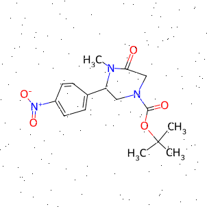 CN1C(=O)CN(C(=O)OC(C)(C)C)CC1c1ccc([N+](=O)[O-])cc1